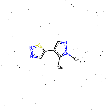 Cn1ncc(-c2cnns2)c1C(C)(C)C